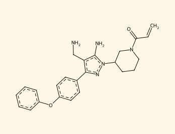 C=CC(=O)N1CCCC(n2nc(-c3ccc(Oc4ccccc4)cc3)c(CN)c2N)C1